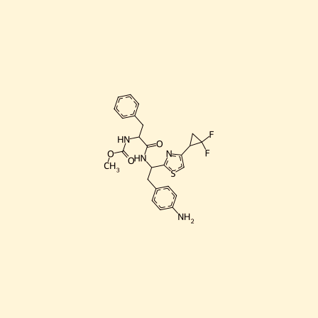 COC(=O)NC(Cc1ccccc1)C(=O)NC(Cc1ccc(N)cc1)c1nc(C2CC2(F)F)cs1